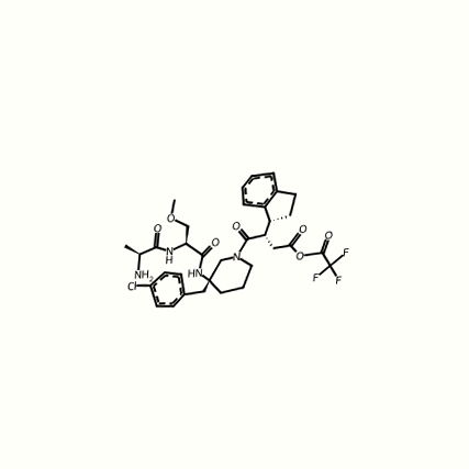 COC[C@H](NC(=O)[C@H](C)N)C(=O)N[C@@]1(Cc2ccc(Cl)cc2)CCCN(C(=O)[C@@H](CC(=O)OC(=O)C(F)(F)F)[C@H]2CCc3ccccc32)C1